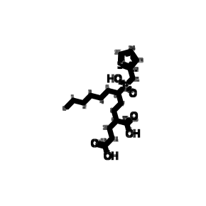 CCCCCCC(CCC(CCC(=O)O)C(=O)O)P(=O)(O)Cc1cccs1